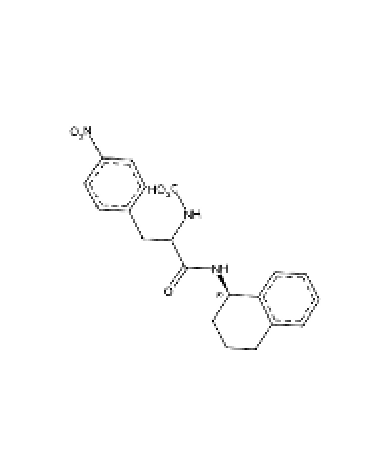 O=C(O)NC(Cc1ccc([N+](=O)[O-])cc1)C(=O)N[C@@H]1CCCc2ccccc21